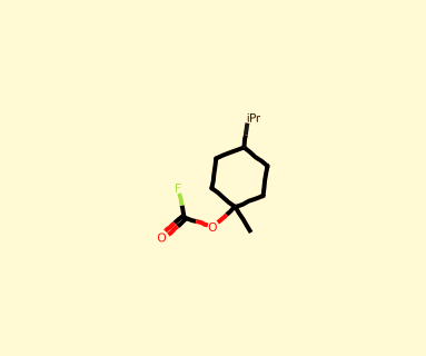 CC(C)C1CCC(C)(OC(=O)F)CC1